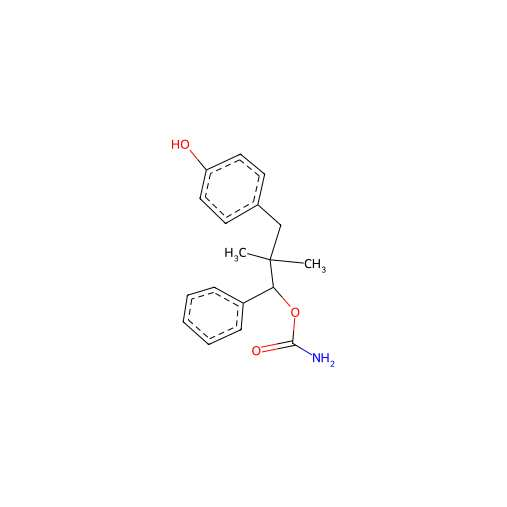 CC(C)(Cc1ccc(O)cc1)C(OC(N)=O)c1ccccc1